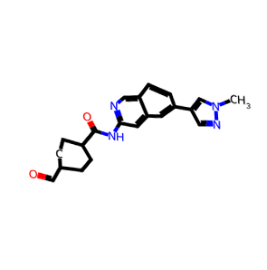 Cn1cc(-c2ccc3cnc(NC(=O)C4CCC(C=O)CC4)cc3c2)cn1